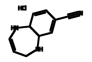 Cl.N#CC1=CC2NCC=CNC2C=C1